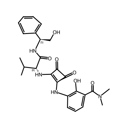 CC(C)[C@@H](Nc1c(Nc2cccc(C(=O)N(C)C)c2O)c(=O)c1=O)C(=O)N[C@H](CO)c1ccccc1